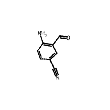 N#Cc1ccc(N)c(C=O)c1